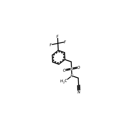 CN(CC#N)S(=O)(=O)Cc1cccc(C(F)(F)F)c1